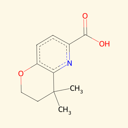 CC1(C)CCOc2ccc(C(=O)O)nc21